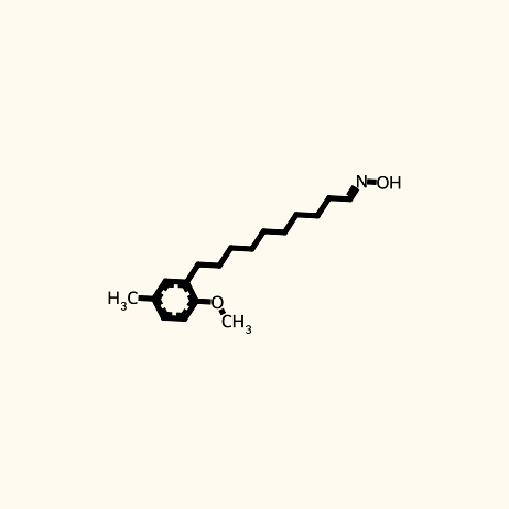 COc1ccc(C)cc1CCCCCCCCCC=NO